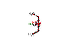 CCCCCCCC/C=C\CCCCCCCC(=O)C(C(=O)CCCCCCC/C=C\CCCCCCCC)N(CC)CCO.Cl